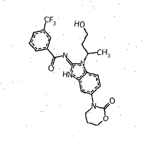 CC(CCO)n1c(=NC(=O)c2cccc(C(F)(F)F)c2)[nH]c2cc(N3CCCOC3=O)ccc21